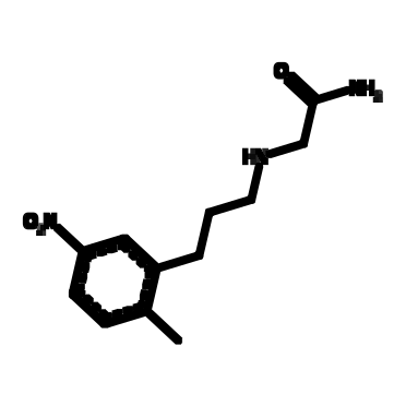 Cc1ccc([N+](=O)[O-])cc1CCCNCC(N)=O